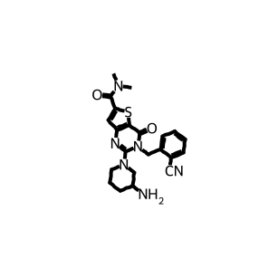 CN(C)C(=O)c1cc2nc(N3CCCC(N)C3)n(Cc3ccccc3C#N)c(=O)c2s1